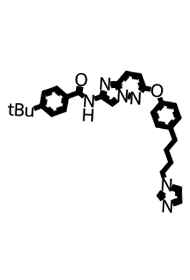 CC(C)(C)c1ccc(C(=O)Nc2cn3nc(Oc4ccc(CCCCn5ccnc5)cc4)ccc3n2)cc1